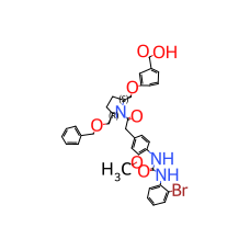 COc1cc(CC(=O)N2[C@@H](COCc3ccccc3)CC[C@H]2COc2cccc(C(=O)O)c2)ccc1NC(=O)Nc1ccccc1Br